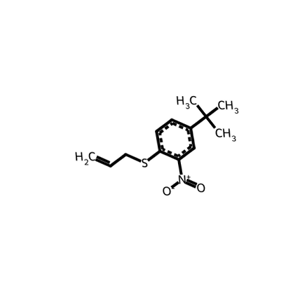 C=CCSc1ccc(C(C)(C)C)cc1[N+](=O)[O-]